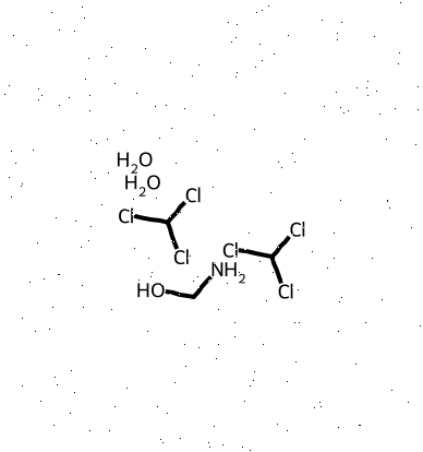 ClC(Cl)Cl.ClC(Cl)Cl.NCO.O.O